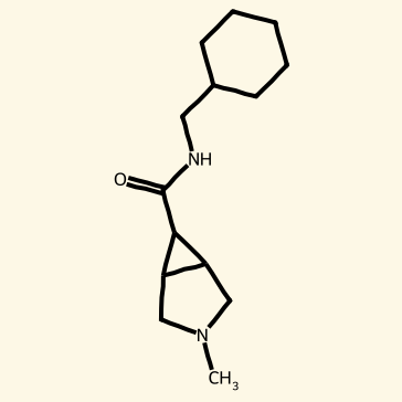 CN1CC2C(C1)C2C(=O)NCC1CCCCC1